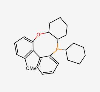 COc1cccc2c1-c1ccccc1P(C1CCCCC1)C1CCCCC1O2